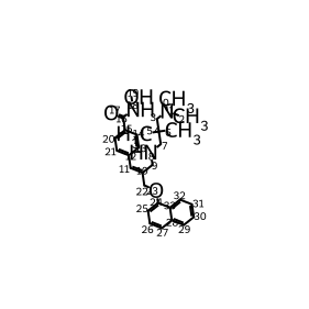 CN(C)CC(C)(C)CNC/C(=C\c1ccc(C(=O)NO)cc1)COc1cccc2ccccc12